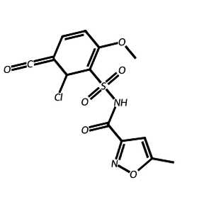 COC1=C(S(=O)(=O)NC(=O)c2cc(C)on2)C(Cl)C(=C=O)C=C1